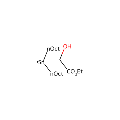 CCCCCCC[CH2][Sn][CH2]CCCCCCC.CCOC(=O)CO